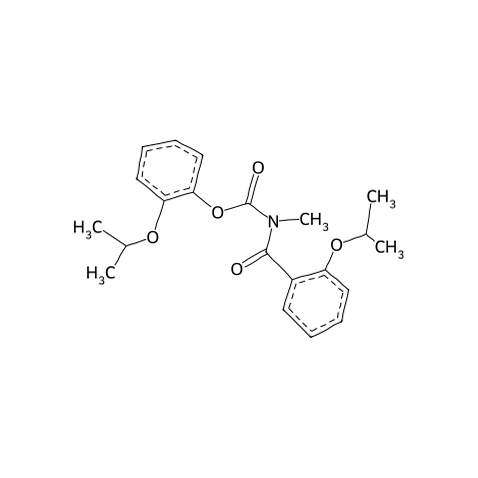 CC(C)Oc1ccccc1OC(=O)N(C)C(=O)c1ccccc1OC(C)C